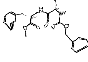 CC[C@H](NC(=O)OCc1ccccc1)C(=O)N[C@@H](Cc1ccccc1)C(=O)OC